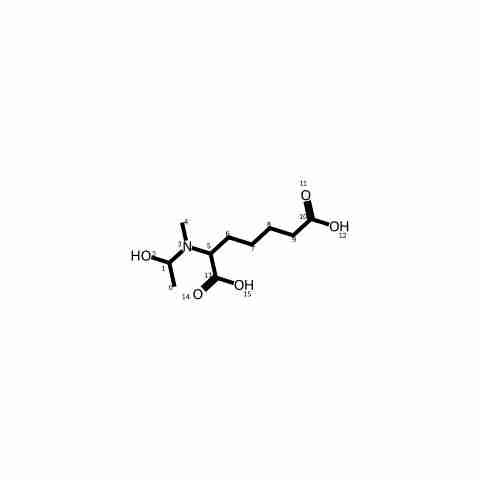 CC(O)N(C)C(CCCCC(=O)O)C(=O)O